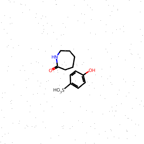 O=C1CCCCCN1.O=S(=O)(O)c1ccc(O)cc1